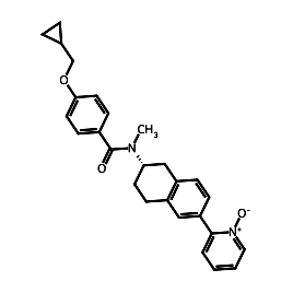 CN(C(=O)c1ccc(OCC2CC2)cc1)[C@H]1CCc2cc(-c3cccc[n+]3[O-])ccc2C1